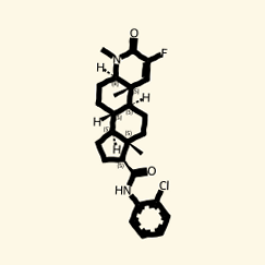 CN1C(=O)C(F)=C[C@]2(C)[C@H]3CC[C@]4(C)[C@@H](C(=O)Nc5ccccc5Cl)CC[C@H]4[C@@H]3CC[C@@H]12